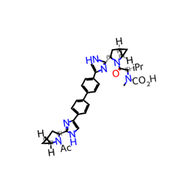 CC(=O)N1[C@@H]2C[C@@H]2C[C@H]1c1nc(-c2ccc(-c3ccc(-c4c[nH]c([C@@H]5C[C@H]6C[C@H]6N5C(=O)[C@H](C(C)C)N(C)C(=O)O)n4)cc3)cc2)c[nH]1